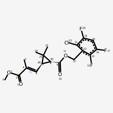 COC(=O)/C(C)=C/[C@@H]1[C@@H](C(=O)OCc2c(F)c(F)cc(F)c2Cl)C1(C)C